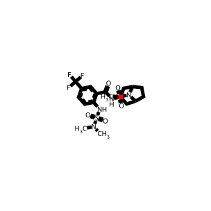 CN(C)S(=O)(=O)Nc1ccc(C(F)(F)F)cc1C(=O)NC1CC2CCC(C1)N2S(C)(=O)=O